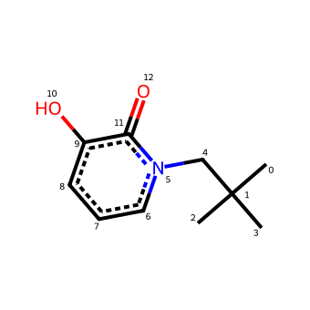 CC(C)(C)Cn1cccc(O)c1=O